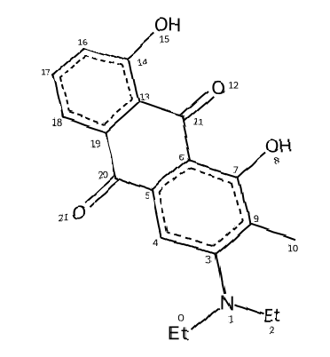 CCN(CC)c1cc2c(c(O)c1C)C(=O)c1c(O)cccc1C2=O